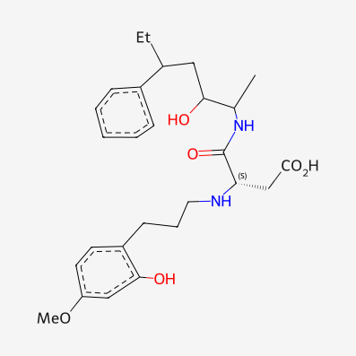 CCC(CC(O)C(C)NC(=O)[C@H](CC(=O)O)NCCCc1ccc(OC)cc1O)c1ccccc1